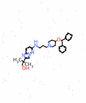 CC(C)(CO)c1cn2nc(NCCCN3CCC(OC(c4ccccc4)c4ccccc4)CC3)ccc2n1